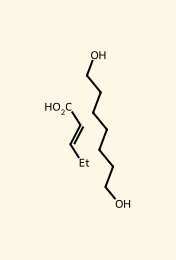 CCC=CC(=O)O.OCCCCCCCO